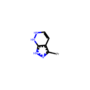 CC(C)c1n[nH]c2c1C=CNN2